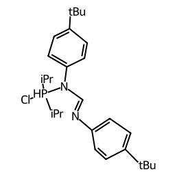 CC(C)[PH](Cl)(C(C)C)N(/C=N/c1ccc(C(C)(C)C)cc1)c1ccc(C(C)(C)C)cc1